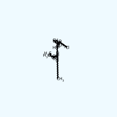 CCCCCCCCCCCCCCCCCOCOCC(COP(=O)(O)OCCN(C)CC)OCOCCCCNC(=O)Cc1c(C)n(C(=O)C#CC#CC#CCl)c2ccc(OC)cc12